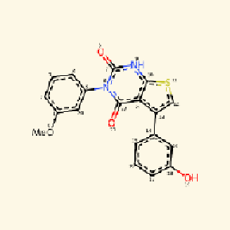 COc1cccc(-n2c(=O)[nH]c3scc(-c4cccc(O)c4)c3c2=O)c1